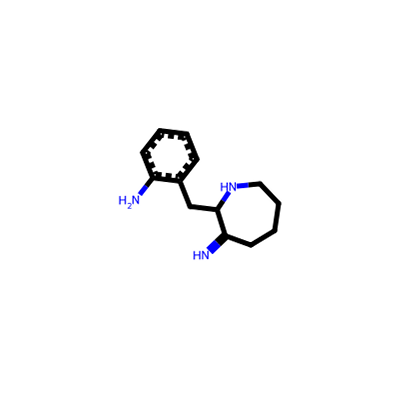 N=C1CCCCNC1Cc1ccccc1N